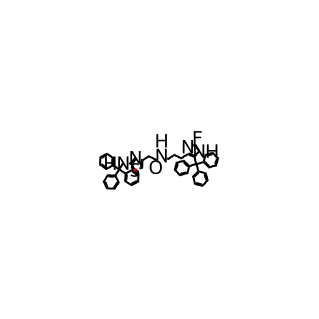 O=C(Cc1csc(NC(c2ccccc2)(c2ccccc2)c2ccccc2)n1)NCCCc1nc(F)[nH]c1C(c1ccccc1)(c1ccccc1)c1ccccc1